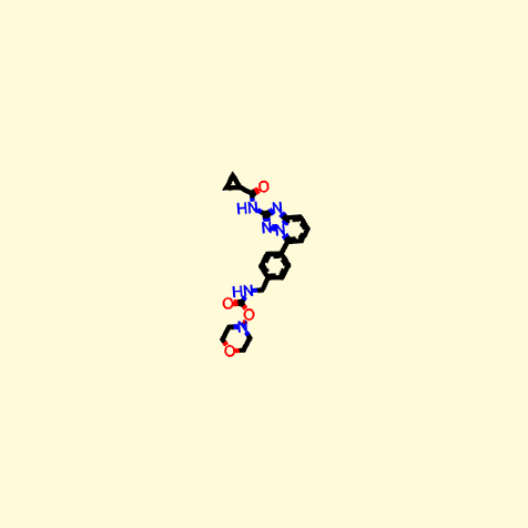 O=C(NCc1ccc(-c2cccc3nc(NC(=O)C4CC4)nn23)cc1)ON1CCOCC1